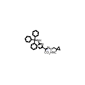 N#CC1(CO/N=C(\C(=O)O)c2csc(NC(c3ccccc3)(c3ccccc3)c3ccccc3)n2)CC1